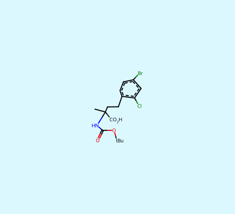 CC(C)(C)OC(=O)NC(C)(CCc1ccc(Br)cc1Cl)C(=O)O